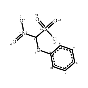 O=[N+]([O-])C(Oc1ccccc1)S(=O)(=O)Cl